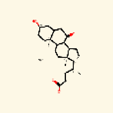 C[C@H](CCC(=O)[O-])[C@H]1CCC2C3C(=O)CC4C[C@H](O)CC[C@]4(C)C3CC[C@@]21C.[Na+]